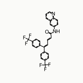 O=C(/C=C/C=C(c1ccc(C(F)(F)F)cc1)c1ccc(C(F)(F)F)cc1)Nc1ccc2ncccc2c1